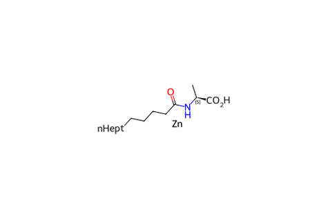 CCCCCCCCCCCC(=O)N[C@@H](C)C(=O)O.[Zn]